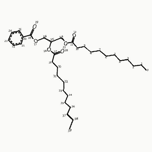 CCCCCCCCCCCC(=O)OCC(COC(=O)c1ccccc1)OC(=O)CCCCCCCCCCC